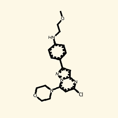 COCCNc1ccc(-c2cc3nc(Cl)cc(N4CCOCC4)n3n2)cc1